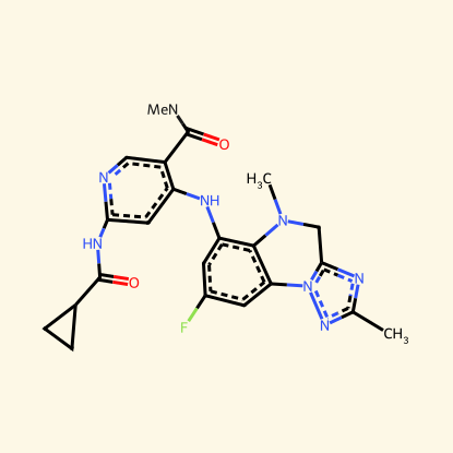 CNC(=O)c1cnc(NC(=O)C2CC2)cc1Nc1cc(F)cc2c1N(C)Cc1nc(C)nn1-2